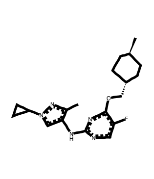 Cc1nn(C2CC2)cc1Nc1ncc(F)c(OC[C@H]2CC[C@H](C)CC2)n1